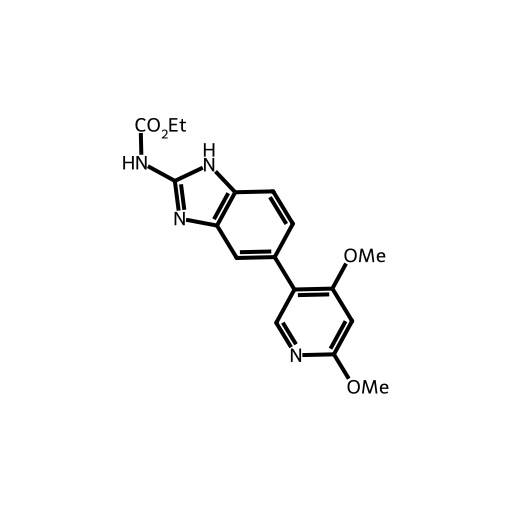 CCOC(=O)Nc1nc2cc(-c3cnc(OC)cc3OC)ccc2[nH]1